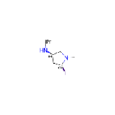 CC(C)N[C@@H]1C[C@H](I)N(C)C1